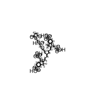 CC1(C)C(/C=C/C=C(/C=C/C=C2/N(CCS(=O)(=O)O)c3ccc(S(=O)(=O)O)cc3C2(C)C)CCCOCC(=O)NCCN2C(=O)C=CC2=O)=[N+](CCS(=O)(=O)O)c2ccc(S(=O)(=O)O)cc21